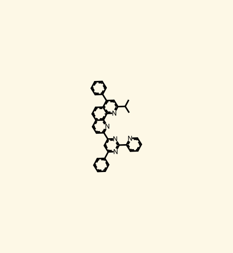 CC(C)c1cc(-c2ccccc2)c2ccc3ccc(-c4cc(-c5ccccc5)nc(-c5ccccn5)n4)nc3c2n1